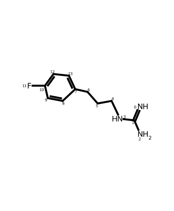 N=C(N)NCCCc1ccc(F)cc1